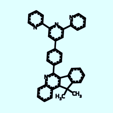 CC1(C)c2ccccc2-c2c(-c3ccc(-c4cc(-c5ccccn5)nc(-c5ccccn5)c4)cc3)nc3ccccc3c21